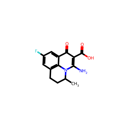 CC1CCc2cc(F)cc3c(=O)c(C(=O)O)c(N)n1c23